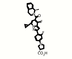 C[C@@H]1c2ccccc2CCN1C(=O)c1cc(C2CC2)n2nc(-c3ccc(N4CC[C@H](C(=O)O)C4)cc3F)cc2c1F